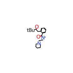 CN(CCN1CCCCC1)C(=O)c1ccccc1CC(=O)C(C)(C)C